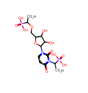 O=C(O)C(OCC1OC(n2ccc(=O)n(C(C(=O)O)P(=O)(O)O)c2=O)C(O)C1O)P(=O)(O)O